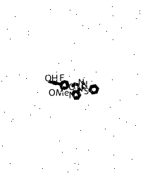 COc1cc(C#CCO)c(F)cc1OCc1nnc(SC2C=CCCC2)n1-c1cccnc1